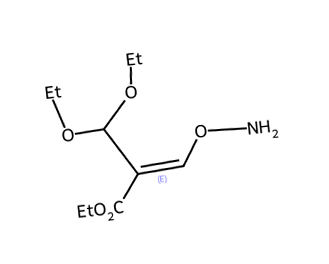 CCOC(=O)/C(=C/ON)C(OCC)OCC